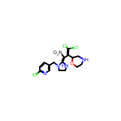 O=[N+]([O-])C(C(=C(Cl)Cl)C1CNCCO1)=C1NCCN1Cc1ccc(Cl)nc1